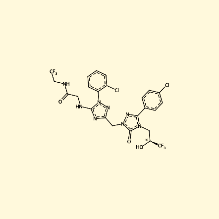 O=C(CNc1nc(Cn2nc(-c3ccc(Cl)cc3)n(C[C@H](O)C(F)(F)F)c2=O)nn1-c1ccccc1Cl)NCC(F)(F)F